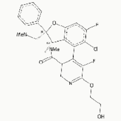 CNC[C@]1(c2ccccc2)Oc2cc(F)c(Cl)c(C3=C(F)C(OCCO)=NCC3C(=O)NC)c2[C@@H]1C